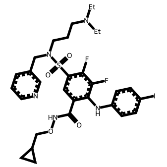 CCN(CC)CCCN(Cc1cccnc1)S(=O)(=O)c1cc(C(=O)NOCC2CC2)c(Nc2ccc(I)cc2)c(F)c1F